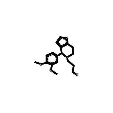 COc1ccc(C2c3ccsc3CCN2CCCCl)cc1OC